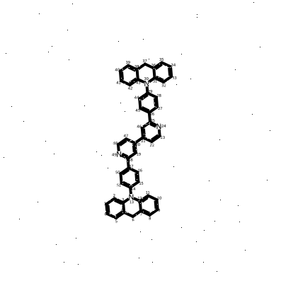 c1ccc2c(c1)Cc1ccccc1N2c1ccc(-c2cc(-c3ccnc(-c4ccc(N5c6ccccc6Cc6ccccc65)cc4)c3)ccn2)cc1